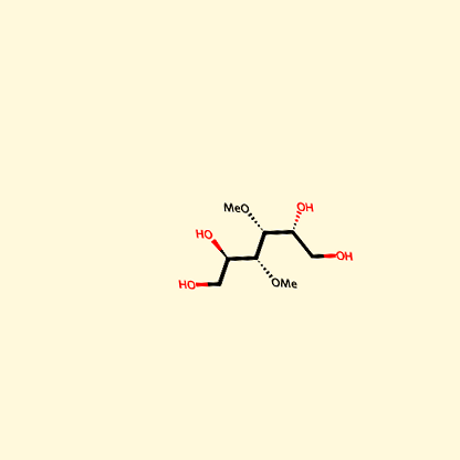 CO[C@@H]([C@H](OC)[C@H](O)CO)[C@H](O)CO